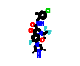 COc1c(N2C[C@@H](C)N[C@@H](C)C2)c(F)cc2c(=O)c(C(=O)NCc3ccc(Cl)cc3C)cn(CC(F)F)c12